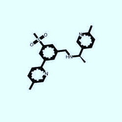 Cc1ccc(-c2cc(CN[C@H](C)c3ccc(C)nc3)cc(S(C)(=O)=O)c2)nc1